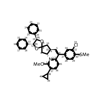 COc1nc(C(=C[C@H]2CCC3(C2)O[C@H](c2ccccc2)[C@@H](c2ccccc2)O3)c2ccc(SC)c(Cl)c2)ccc1C1CC1